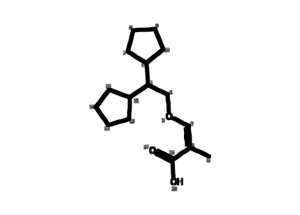 CC(=COCC(C1CCCC1)C1CCCC1)C(=O)O